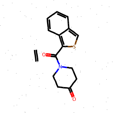 C=C.O=C1CCN(C(=O)c2scc3ccccc23)CC1